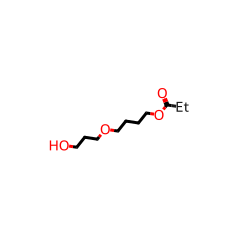 CCC(=O)OCCCCOCCCO